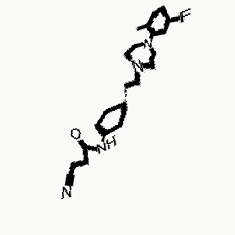 Cc1ccc(F)cc1N1CCN(CC[C@H]2CC[C@H](NC(=O)CCC#N)CC2)CC1